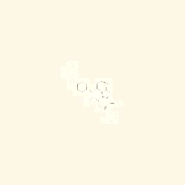 C[C@H]1CCC[C@H]1NC(=O)c1sc2nccc3c2c1NC(=O)N3c1ccc(OC2CCOCC2)cc1